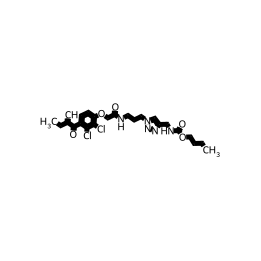 C=C(CC)C(=O)c1ccc(OCC(=O)NCCCn2cc(CNC(=O)OCCCC)nn2)c(Cl)c1Cl